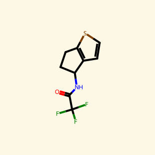 O=C(NC1CCc2sccc21)C(F)(F)F